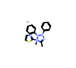 CC1=NN(c2ccccc2)N(c2ccccc2)[N+]1(C)c1nccs1.[Br-]